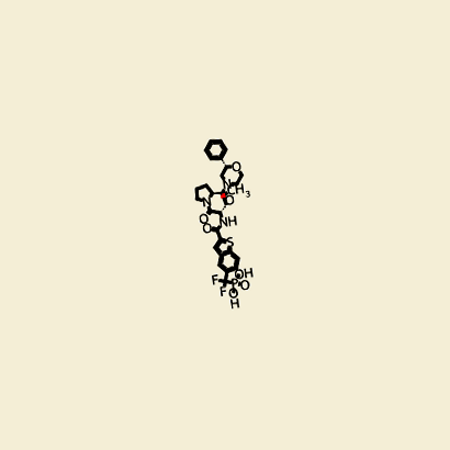 CCC[C@H](NC(=O)c1cc2cc(C(F)(F)P(=O)(O)O)ccc2s1)C(=O)N1CCC[C@H]1C(=O)N1CCO[C@@H](c2ccccc2)C1